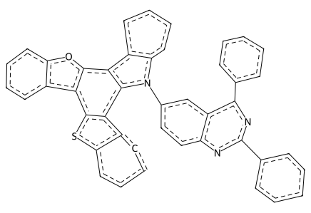 c1ccc(-c2nc(-c3ccccc3)c3cc(-n4c5ccccc5c5c6oc7ccccc7c6c6sc7ccccc7c6c54)ccc3n2)cc1